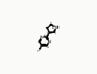 Ic1cnc(C2CCNC2)nc1